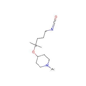 CC(=O)N1CCC(O[Si](C)(C)CCCN=C=O)CC1